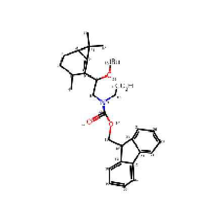 CC1CCC2C(=C1C(CN(CC(=O)O)C(=O)OCC1c3ccccc3-c3ccccc31)OC(C)(C)C)C2(C)C